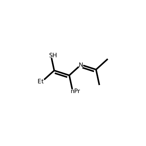 CCC/C(N=C(C)C)=C(/S)CC